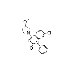 COC1CCN(c2nc(=O)n(-c3ccccc3)c3cc(Cl)ccc23)C1